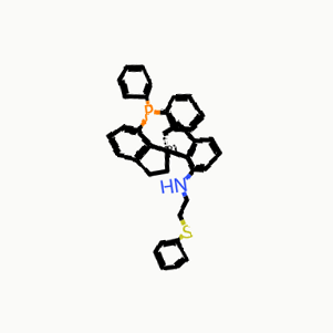 c1ccc(SCCNc2cccc3c2[C@@]2(CC3)CCc3cccc(P(c4ccccc4)c4ccccc4)c32)cc1